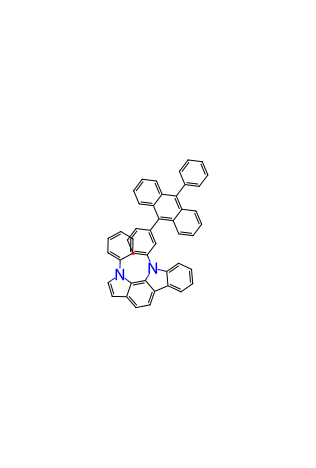 c1ccc(-c2c3ccccc3c(-c3cccc(-n4c5ccccc5c5ccc6ccn(-c7ccccc7)c6c54)c3)c3ccccc23)cc1